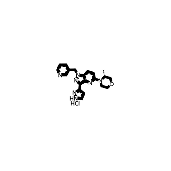 C[C@@H]1COCCN1c1ccc2c(n1)c(-c1cc[nH]n1)nn2Cc1cccnc1.Cl